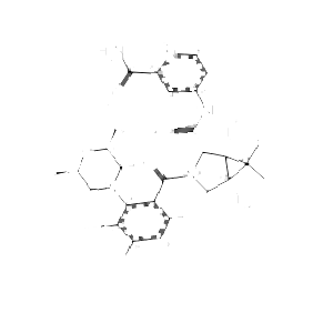 C[C@@H]1CN(c2c(C(=O)N3C[C@H]4[C@@H]([C@H]3C(=O)Nc3ccnc(C(N)=O)c3)C4(C)C)ccc(F)c2F)C[C@H](C)O1